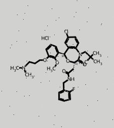 COc1c(OCCCN(C)C)cccc1[C@@H]1O[C@@H](CC(=O)NCc2ccccc2F)C(=O)N(CC(C)(C)C)c2ccc(Cl)cc21.Cl